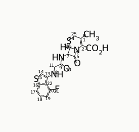 CC1=C(C(=O)O)N2C(=O)C(NC(=O)CNc3csc4cccc(F)c34)[C@@H]2SC1